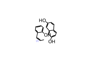 C/C=C\c1ccccc1O.Oc1ccc2ccc(O)cc2c1